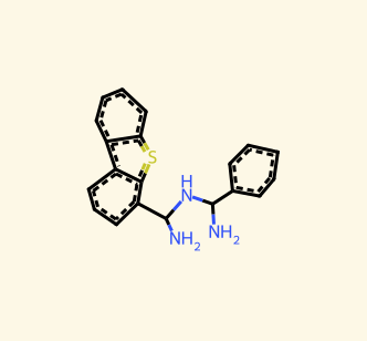 NC(NC(N)c1cccc2c1sc1ccccc12)c1ccccc1